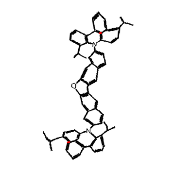 CC(C)c1ccc(N(c2ccc3cc4c(cc3c2)oc2cc3cc(N(c5ccc(C(C)C)cc5)c5c(-c6ccccc6)cccc5C(C)C)ccc3cc24)c2c(-c3ccccc3)cccc2C(C)C)cc1